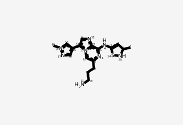 CC1C=C(Nc2nc(CCCN)cn3c(-c4cnn(C)c4)cnc23)SN1